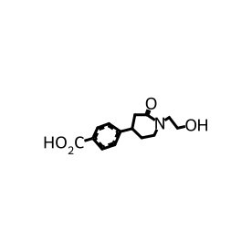 O=C(O)c1ccc(C2CCN(CCO)C(=O)C2)cc1